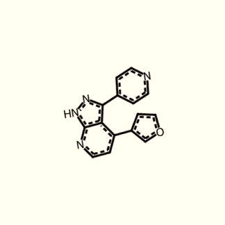 c1cc(-c2n[nH]c3nccc(-c4ccoc4)c23)ccn1